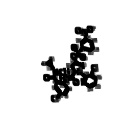 CN(C(=O)c1cc(Cl)ccc1NC(=O)C1CC(OS(=O)(=O)c2cccc([N+](=O)[O-])c2)=NN1c1ncccc1Cl)C1CC1